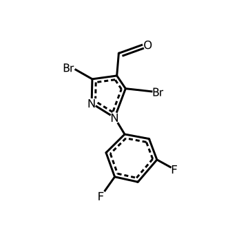 O=Cc1c(Br)nn(-c2cc(F)cc(F)c2)c1Br